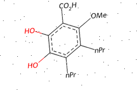 CCCc1c(O)c(O)c(C(=O)O)c(OC)c1CCC